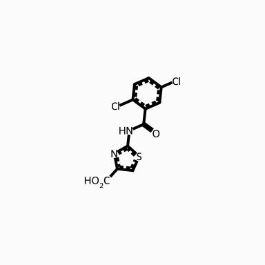 O=C(O)c1csc(NC(=O)c2cc(Cl)ccc2Cl)n1